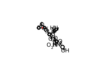 CC(C)c1ccccc1[C@H]1CCCN1C1CC2(CCN(c3ccc(C(=O)NS(=O)(=O)c4cc5c(c([N+](=O)[O-])n4)N[C@@H](C4CCC(C)(O)CC4)CO5)c(Oc4cnc5[nH]ccc5c4)c3)CC2)C1